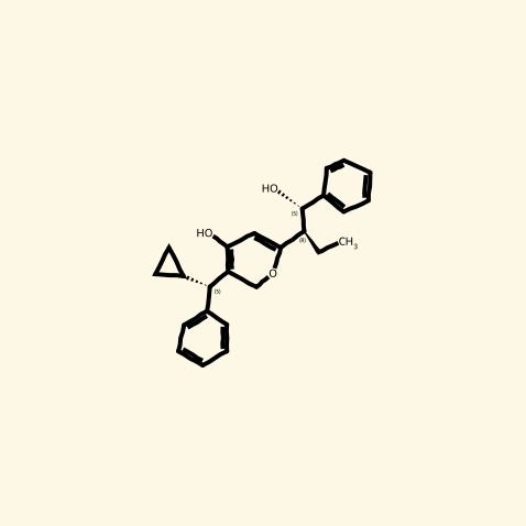 CC[C@@H](C1=CC(O)=C([C@H](c2ccccc2)C2CC2)CO1)[C@H](O)c1ccccc1